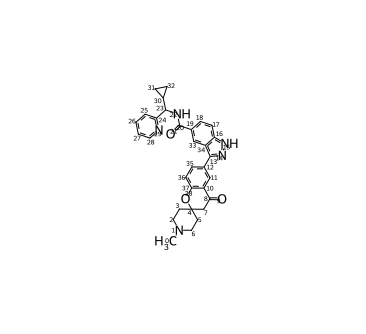 CN1CCC2(CC1)CC(=O)c1cc(-c3n[nH]c4ccc(C(=O)NC(c5ccccn5)C5CC5)cc34)ccc1O2